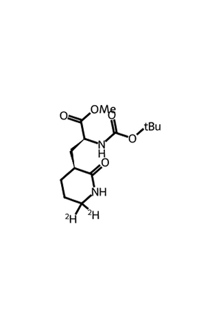 [2H]C1([2H])CC[C@@H](C[C@H](NC(=O)OC(C)(C)C)C(=O)OC)C(=O)N1